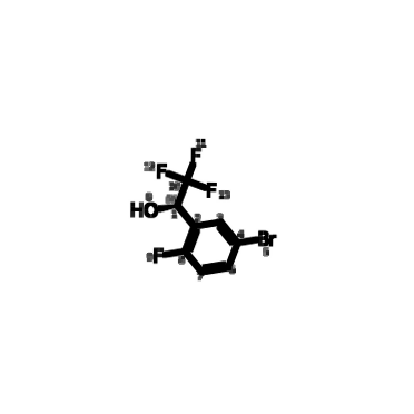 O[C@H](c1cc(Br)ccc1F)C(F)(F)F